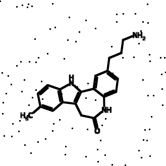 Cc1ccc2[nH]c3c(c2c1)CC(=O)Nc1ccc(CCCN)cc1-3